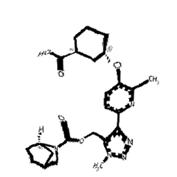 Cc1nc(-c2nnn(C)c2COC(=O)N2CC3CC[C@@H]2C3)ccc1O[C@H]1CCC[C@H](C(=O)O)C1